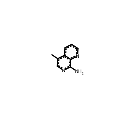 Cc1cnc(N)c2ncccc12